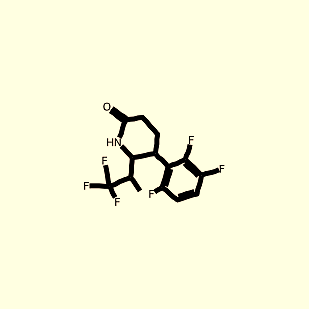 CC(C1NC(=O)CCC1c1c(F)ccc(F)c1F)C(F)(F)F